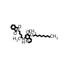 CCCCCCCCCCOc1c(OC)cc(NC(C)CCCN2C(=O)c3ccccc3C2=O)c2ncccc12